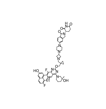 CCc1c(F)ccc2cc(O)cc(-c3ncc4c(N5CCC[C@@](C)(O)C5)nc(OCC5(CN6CC(N7CCN(c8ccc9c(c8)CN([C@H]8CCC(=O)NC8=O)C9=O)CC7)C6)CC5)nc4c3F)c12